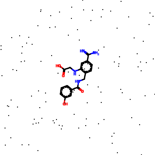 N=C(N)c1ccc(CNC(=O)c2cccc(O)c2)c(NCC(=O)O)c1